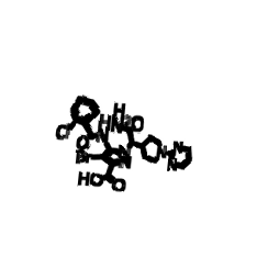 NC(=O)C(C1CCN(c2ncccn2)CC1)n1nc(C(=O)O)c(Br)c1NC(=O)c1ccccc1Cl